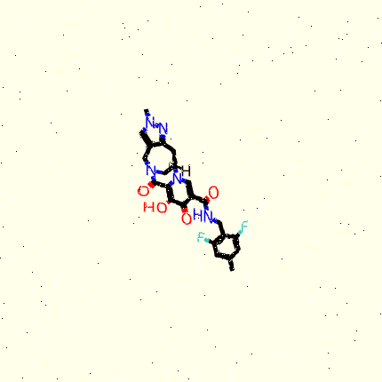 Cc1cc(F)c(CNC(=O)c2cn3c(c(O)c2=O)C(=O)N2Cc4cn(C)nc4C[C@H]3C2)c(F)c1